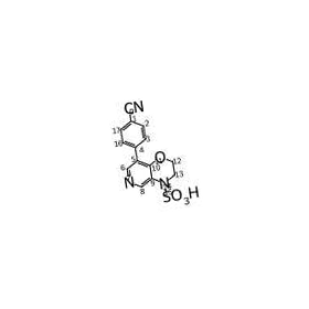 N#Cc1ccc(-c2cncc3c2OCCN3S(=O)(=O)O)cc1